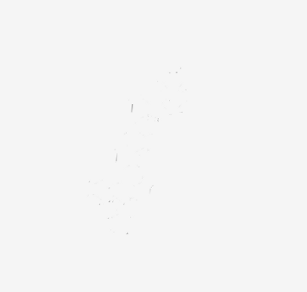 c1ccc(-c2c3ccccc3c(-c3ccc4cc(-c5cccc6c5sc5ccc7ccccc7c56)ccc4c3)c3ccccc23)cc1